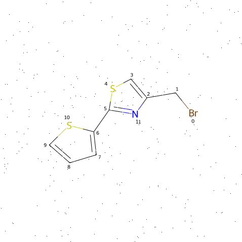 BrCc1csc(-c2cccs2)n1